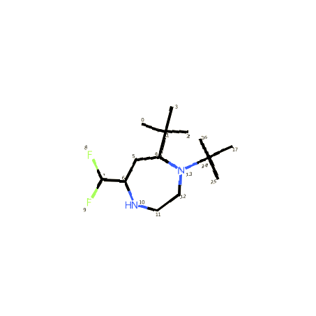 CC(C)(C)C1CC(C(F)F)NCCN1C(C)(C)C